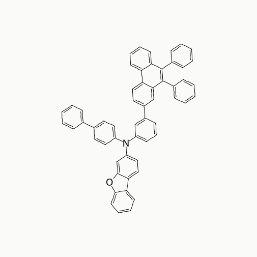 c1ccc(-c2ccc(N(c3cccc(-c4ccc5c(c4)c(-c4ccccc4)c(-c4ccccc4)c4ccccc45)c3)c3ccc4c(c3)oc3ccccc34)cc2)cc1